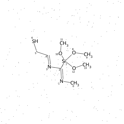 CN=C(N=CCS)[Si](OC)(OC)OC